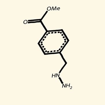 COC(=O)c1ccc(CNN)cc1